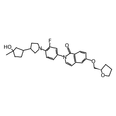 CC1(O)CCC(C2CCN(c3ccc(-n4ccc5cc(OC[C@H]6CCCO6)ccc5c4=O)cc3F)C2)C1